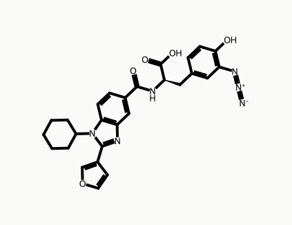 [N-]=[N+]=Nc1cc(C[C@@H](NC(=O)c2ccc3c(c2)nc(-c2ccoc2)n3C2CCCCC2)C(=O)O)ccc1O